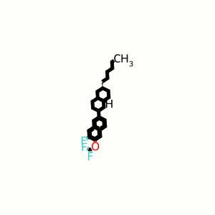 CCCCCC[C@@H]1CC[C@@H]2CC(c3ccc4cc(OC(F)F)c(F)cc4c3)CCC2C1